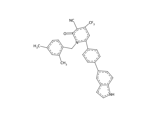 Cc1ccc(Cn2c(-c3ccc(-c4ccc5[nH]ccc5c4)cc3)cc(C(F)(F)F)c(C#N)c2=O)c(C)c1